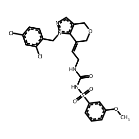 COc1cccc(S(=O)(=O)NC(=O)NCC=C2COCc3cnn(Cc4ccc(Cl)cc4Cl)c32)c1